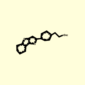 CCCCCCCCCCCCc1ccc(-c2cc3sc4ccccc4c3s2)cc1